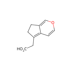 O=C(O)CC1=C2C=COC=C2CC1